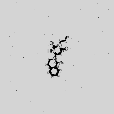 CCCn1c(=O)cc(N2CCc3ccccc3[C@@H]2C)[nH]c1=O